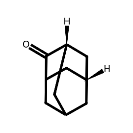 O=C1C2CC3C[C@H](C2)C[C@@H]1C3